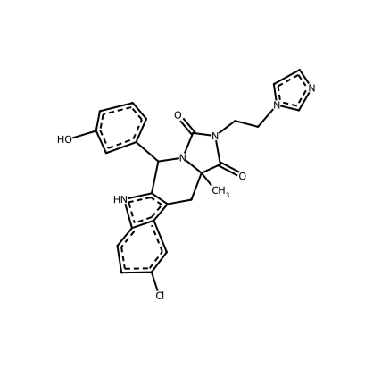 CC12Cc3c([nH]c4ccc(Cl)cc34)C(c3cccc(O)c3)N1C(=O)N(CCn1ccnc1)C2=O